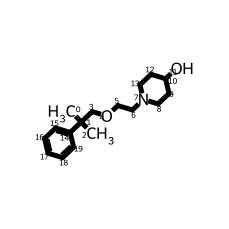 CC(C)(COCCN1CCC(O)CC1)c1ccccc1